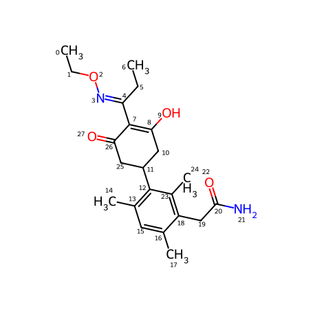 CCON=C(CC)C1=C(O)CC(c2c(C)cc(C)c(CC(N)=O)c2C)CC1=O